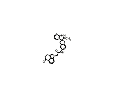 C=C1Nc2ncccc2C12Cc1ccc(NC(=O)Cn3cc4c5c(cccc53)C(=O)CC4)cc1C2